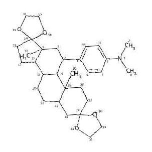 CN(C)c1ccc(C2CC3(C)C(CCC34OCCO4)C3CCC4CC5(CCC4(C)C23)OCCO5)cc1